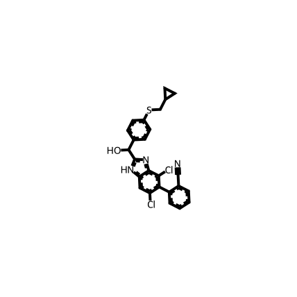 N#Cc1ccccc1-c1c(Cl)cc2[nH]c(C(O)c3ccc(SCC4CC4)cc3)nc2c1Cl